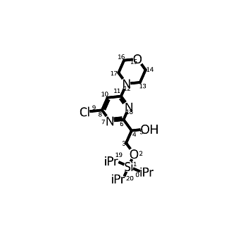 CC(C)[Si](OCC(O)c1nc(Cl)cc(N2CCOCC2)n1)(C(C)C)C(C)C